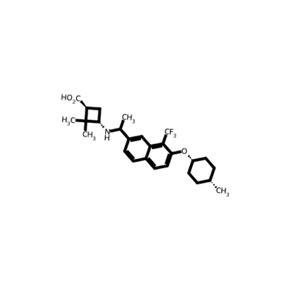 CC(N[C@H]1C[C@H](C(=O)O)C1(C)C)c1ccc2ccc(O[C@H]3CC[C@@H](C)CC3)c(C(F)(F)F)c2c1